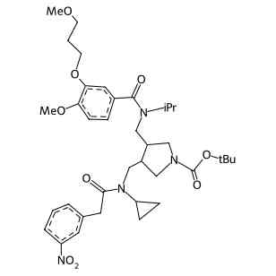 COCCCOc1cc(C(=O)N(CC2CN(C(=O)OC(C)(C)C)CC2CN(C(=O)Cc2cccc([N+](=O)[O-])c2)C2CC2)C(C)C)ccc1OC